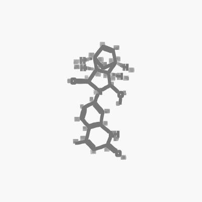 COC1[C@H]2[C@@H](C(=O)N1c1ccc3c(C)cc(=O)[nH]c3c1)[C@H]1C=C[C@@H]2C1